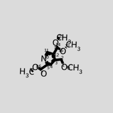 COCc1cc(C(=O)OC)ncc1C(OC)OC